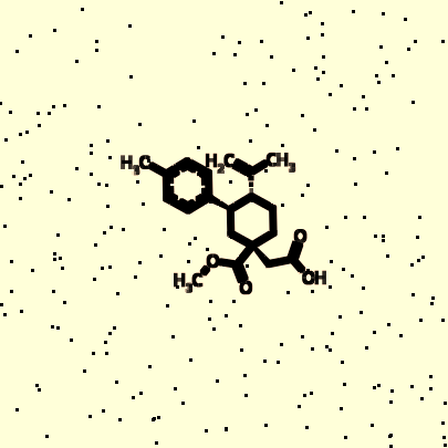 C=C(C)[C@@H]1CC[C@](CC(=O)O)(C(=O)OC)C[C@H]1c1ccc(C)cc1